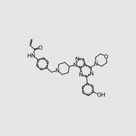 C=CC(=O)Nc1ccc(CN2CCC(n3ncc4c(N5CCOCC5)nc(-c5cccc(O)c5)nc43)CC2)cc1